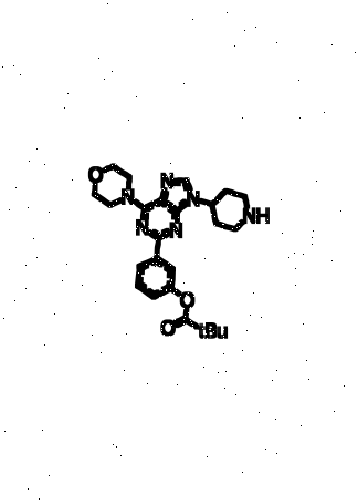 CC(C)(C)C(=O)Oc1cccc(-c2nc(N3CCOCC3)c3ncn(C4CCNCC4)c3n2)c1